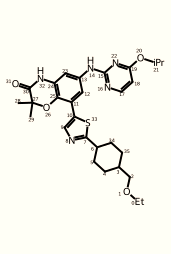 CCOCC1CCC(c2ncc(-c3cc(Nc4nccc(OC(C)C)n4)cc4c3OC(C)(C)C(=O)N4)s2)CC1